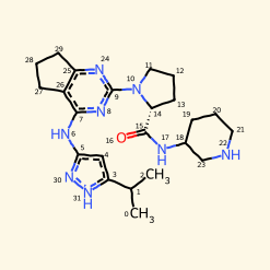 CC(C)c1cc(Nc2nc(N3CCC[C@@H]3C(=O)NC3CCCNC3)nc3c2CCC3)n[nH]1